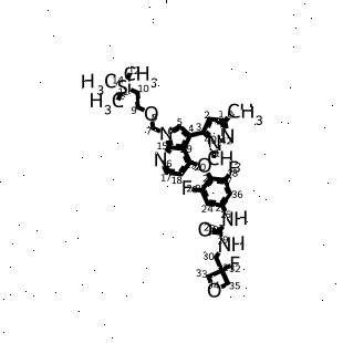 Cc1cc(-c2cn(COCC[Si](C)(C)C)c3nccc(Oc4c(F)cc(NC(=O)NCC5(F)COC5)cc4F)c23)n(C)n1